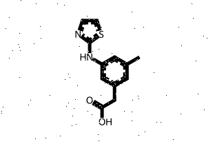 Cc1cc(CC(=O)O)cc(Nc2nccs2)c1